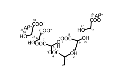 CC(O)C(=O)[O-].CC(O)C(=O)[O-].CC(O)C(=O)[O-].O=C([O-])CO.O=C([O-])CO.O=C([O-])CO.[Al+3].[Al+3]